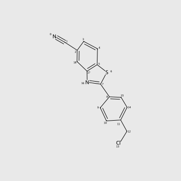 N#Cc1ccc2sc(-c3ccc(CCl)cc3)nc2c1